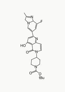 CC1=NC2C(F)=CC(c3cc(O)c4c(=O)n(C5CCN(C(=O)OC(C)(C)C)CC5)ccc4n3)=CN2C1